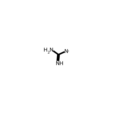 [N]C(=N)N